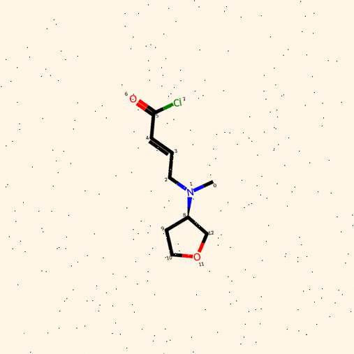 CN(C/C=C/C(=O)Cl)[C@@H]1CCOC1